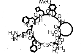 COc1ccc(CC2NC(=O)C(CC3CCC3)NC(=O)C(Cc3cccnc3)NC(=O)C(CCCNC(=N)N)NC(=O)C(Cc3ccccc3)NC(=O)CSCC(C)(C(N)=O)NC(=O)C3CCCCCCCCC(NC2=O)C(=O)N3C)cc1